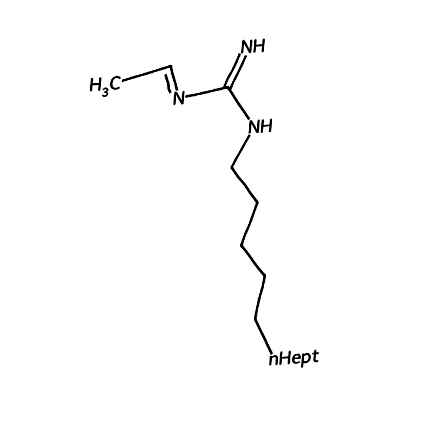 CC=NC(=N)NCCCCCCCCCCCC